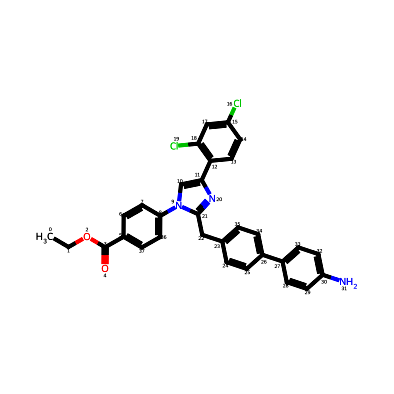 CCOC(=O)c1ccc(-n2cc(-c3ccc(Cl)cc3Cl)nc2Cc2ccc(-c3ccc(N)cc3)cc2)cc1